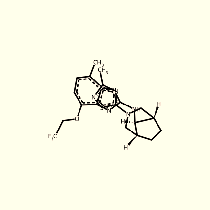 Cc1nsc(N2C[C@H]3CC[C@@H](C2)[C@@H]3Nc2nc3c(OCC(F)(F)F)ccc(C)n3n2)n1